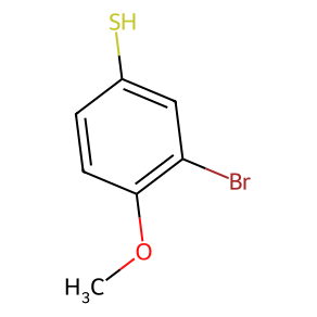 COc1ccc(S)cc1Br